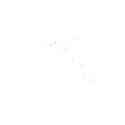 CNC(=O)c1cc(=O)n(CCN2CCC(NCC=Cc3ccco3)CC2)c2cc(OC)ccc12